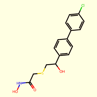 O=C(CSCC(O)c1ccc(-c2ccc(Cl)cc2)cc1)NO